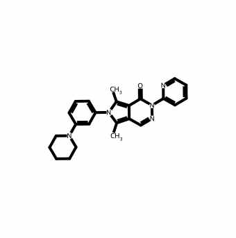 Cc1c2cnn(-c3ccccn3)c(=O)c2c(C)n1-c1cccc(N2CCCCC2)c1